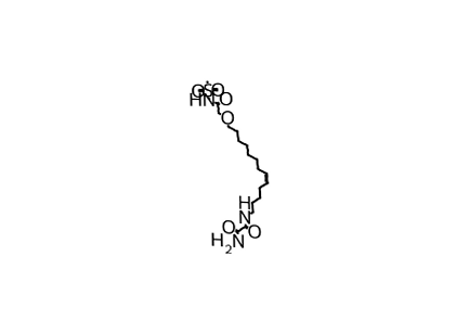 CS(=O)(=O)NC(=O)COCCCCCCC/C=C\CCCCNC(=O)C(N)=O